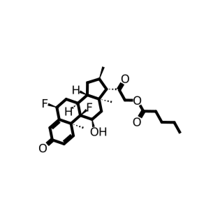 CCCCC(=O)OCC(=O)[C@H]1[C@H](C)C[C@H]2[C@@H]3C[C@H](F)C4=CC(=O)C=C[C@]4(C)[C@@]3(F)[C@H](O)C[C@@]21C